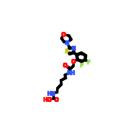 O=C(O)NCCCCCCNC(=O)COc1c(-c2csc(N3CCOCC3)n2)ccc(F)c1F